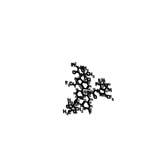 CC(C)C(N)C(=O)N(c1nn(CC(F)(F)F)c2c(-c3ccc(C#CC(C)(C)S(C)(=O)=O)nc3C(Cc3cc(F)cc(F)c3)NC(=O)Cn3nc(C(F)(F)F)c4c3C(F)(F)[C@@H]3C[C@H]43)ccc(Cl)c12)S(C)(=O)=O